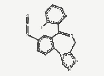 O=C=Nc1ccc2c(c1)C(c1ccccc1F)=NCc1nncn1-2